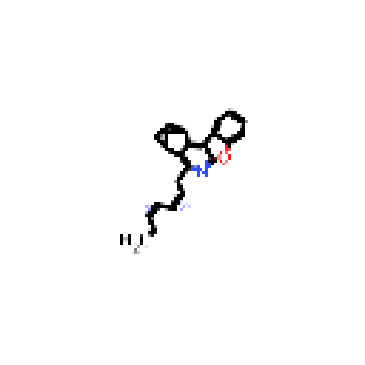 C=C/C=C\C=C/Cc1nc2oc3ccccc3c2c2c1C1CCC2C1